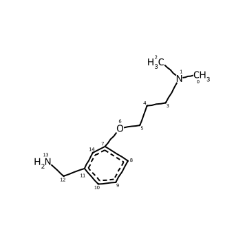 CN(C)CCCOc1cccc(CN)c1